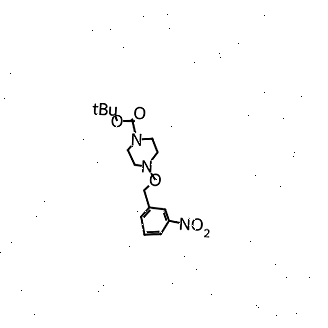 CC(C)(C)OC(=O)N1CCN(OCc2cccc([N+](=O)[O-])c2)CC1